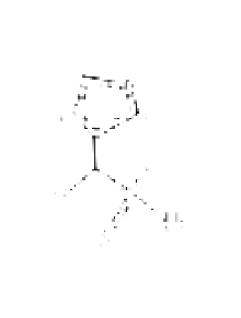 CC(c1cncs1)S(N)(=O)=O